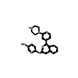 N#Cc1ccc(Nc2cc3ccccc3c(-c3ccnc(N4CCNCC4)c3)n2)nc1